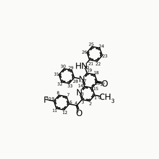 Cc1cc(C(=O)c2ccc(F)cc2)nc2c1c(=O)cc(Nc1ccccc1)n2-c1ccccc1